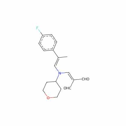 C/C(=C\N(C=C(C=O)C=O)C1CCOCC1)c1ccc(F)cc1